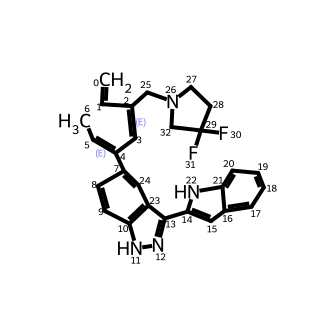 C=C/C(=C\C(=C/C)c1ccc2[nH]nc(-c3cc4ccccc4[nH]3)c2c1)CN1CCC(F)(F)C1